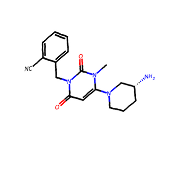 Cn1c(N2CCC[C@@H](N)C2)cc(=O)n(Cc2ccccc2C#N)c1=O